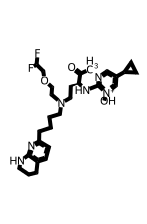 CC(=O)[C@H](CCN(CCCCc1ccc2c(n1)NCCC2)CCOCC(F)F)Nc1ncc(C2CC2)c[n+]1O